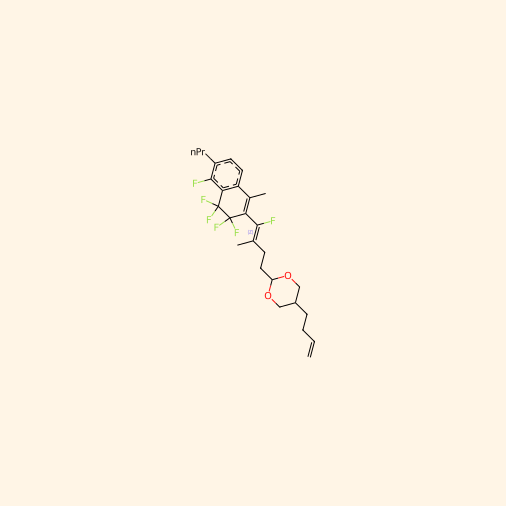 C=CCCC1COC(CC/C(C)=C(\F)C2=C(C)c3ccc(CCC)c(F)c3C(F)(F)C2(F)F)OC1